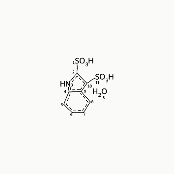 O.O=S(=O)(O)c1[nH]c2ccccc2c1S(=O)(=O)O